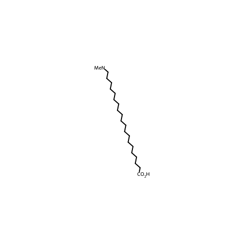 CNCCCCCCCCCCCCCCCCCCCC(=O)O